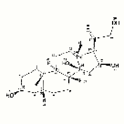 C[C@]12CC[C@H](O)C[C@H]1CC[C@@H]1[C@@H]2CC[C@]2(C)[C@@H](C(=O)CO)[C@@H](O)C[C@]12O